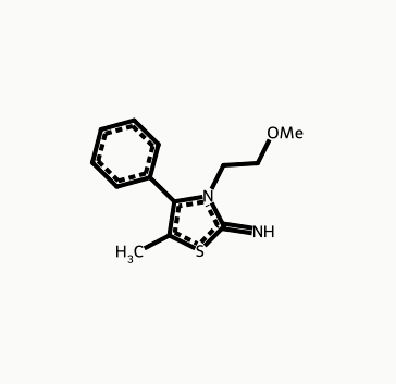 COCCn1c(-c2ccccc2)c(C)sc1=N